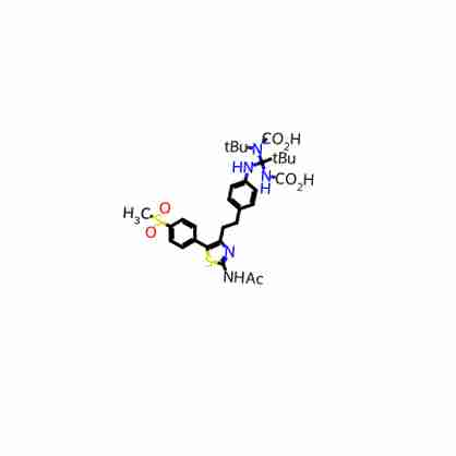 CC(=O)Nc1nc(CCc2ccc(NC(NC(=O)O)(N(C(=O)O)C(C)(C)C)C(C)(C)C)cc2)c(-c2ccc(S(C)(=O)=O)cc2)s1